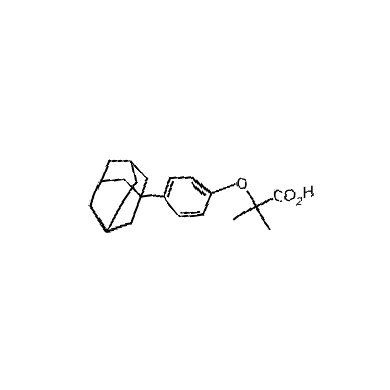 CC(C)(Oc1ccc(C23CC4CC(CC(C4)C2)C3)cc1)C(=O)O